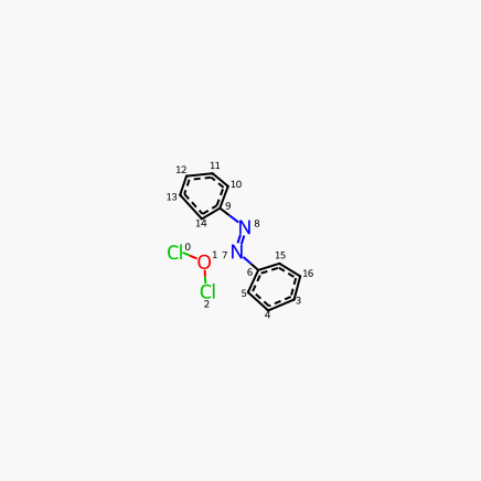 ClOCl.c1ccc(N=Nc2ccccc2)cc1